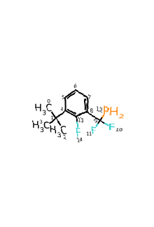 CC(C)(C)c1cccc(C(F)(F)P)c1F